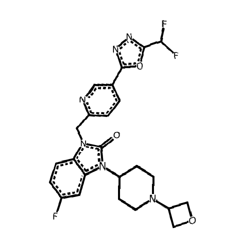 O=c1n(Cc2ccc(-c3nnc(C(F)F)o3)cn2)c2ccc(F)cc2n1C1CCN(C2COC2)CC1